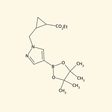 CCOC(=O)C1CC1Cn1cc(B2OC(C)(C)C(C)(C)O2)cn1